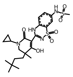 CC(C)(C)CCC1(C)CN(C2CC2)C(=O)C(C2=NS(=O)(=O)c3cc(NS(C)(=O)=O)ccc3N2)=C1O